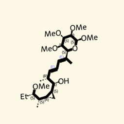 CC[C@H](OC)[C@@H](C)[C@H]1C[C@@H]1[C@@H](O)[C@H](C)/C=C/C=C(\C)[C@@H]1O[C@H](OC)[C@H](OC)[C@@H](OC)[C@@H]1OC